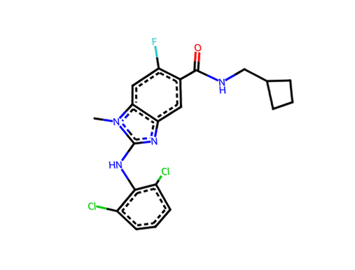 Cn1c(Nc2c(Cl)cccc2Cl)nc2cc(C(=O)NCC3CCC3)c(F)cc21